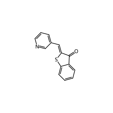 O=C1C(=Cc2cccnc2)Sc2ccccc21